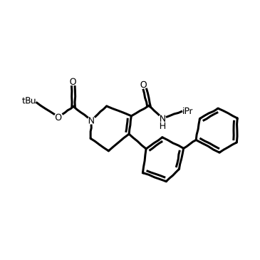 CC(C)NC(=O)C1=C(c2cccc(-c3ccccc3)c2)CCN(C(=O)OC(C)(C)C)C1